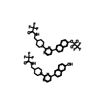 O=C(NCC1CCN(c2nccc(-c3ccc4cc(O)ccc4c3)n2)CC1)C(F)(F)F.O=C(NCC1CCN(c2nccc(-c3ccc4cc(OS(=O)(=O)C(F)(F)F)ccc4c3)n2)CC1)C(F)(F)F